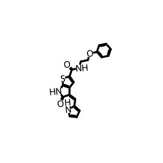 O=C1Nc2sc(C(=O)NCCOc3ccccc3)cc2/C1=C/c1ccc[nH]1